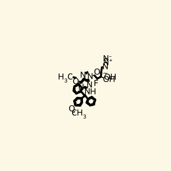 CCOc1nc(NC(c2ccccc2)(c2ccccc2)c2ccc(OC)cc2)nc2c1ncn2[C@@H]1O[C@@](CO)(CN=[N+]=[N-])[C@@H](O)[C@H]1F